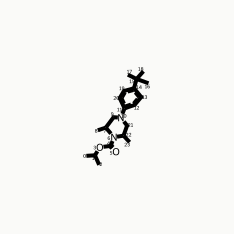 CC(C)OC(=O)N1C(C)CN(c2ccc(C(C)(C)C)cc2)CC1C